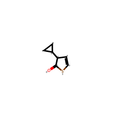 O=C1SC=CC1C1CC1